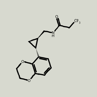 O=C(CC(F)(F)F)NC[C@@H]1C[C@H]1c1cccc2c1OCCO2